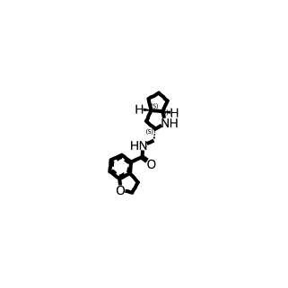 O=C(NC[C@@H]1C[C@@H]2CCC[C@@H]2N1)c1cccc2c1CCO2